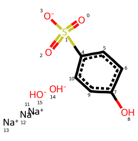 O=S(=O)([O-])c1ccc(O)cc1.[Na+].[Na+].[Na+].[OH-].[OH-]